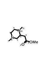 COC(=O)CC1CN(C)CCN1C